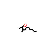 CCCCCC1CC(C)=C(C)CO1